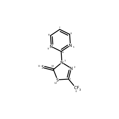 FC(F)(F)c1nn(-c2ncccn2)c(=S)s1